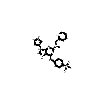 CN(Cc1ccccn1)c1nc(Nc2ccc(S(C)(=O)=O)cc2)c2ncn(-c3ccsc3)c2n1